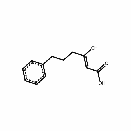 CC(=CC(=O)O)CCCc1ccccc1